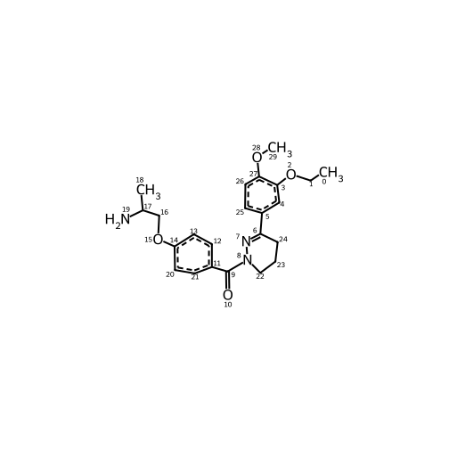 CCOc1cc(C2=NN(C(=O)c3ccc(OCC(C)N)cc3)CCC2)ccc1OC